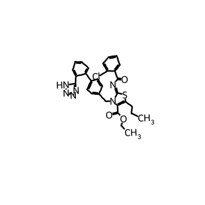 CCCc1sc(=NC(=O)c2ccccc2Cl)n(Cc2ccc(-c3ccccc3-c3nnn[nH]3)cc2)c1C(=O)OCC